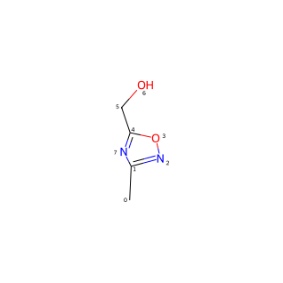 Cc1noc(CO)n1